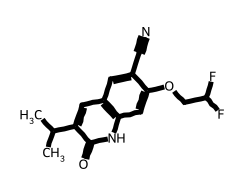 CC(C)c1cc2cc(C#N)c(OCC(F)F)cc2[nH]c1=O